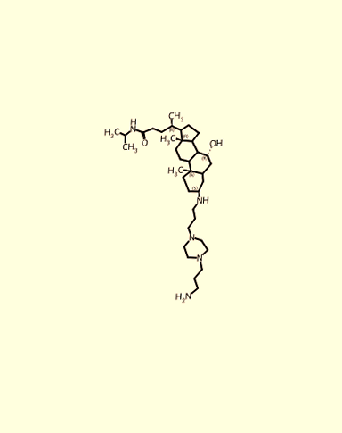 CC(C)NC(=O)CC[C@@H](C)C1CCC2C3C(CC[C@@]21C)[C@@]1(C)CC[C@H](NCCCN2CCN(CCCN)CC2)CC1C[C@H]3O